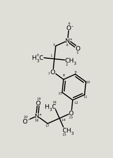 CC(C)(C[N+](=O)[O-])Oc1cccc(OC(C)(C)C[N+](=O)[O-])c1